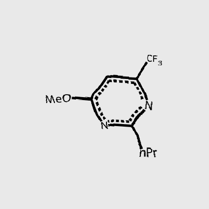 [CH]Oc1cc(C(F)(F)F)nc(CCC)n1